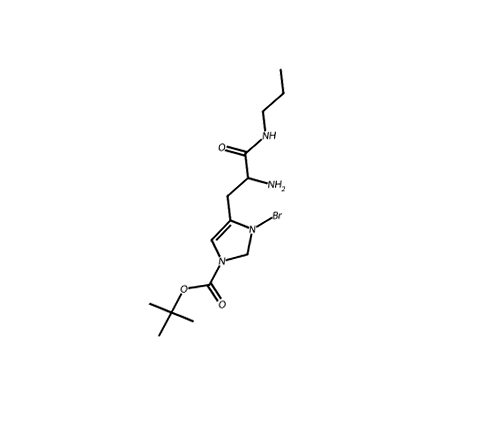 CCCNC(=O)C(N)CC1=CN(C(=O)OC(C)(C)C)CN1Br